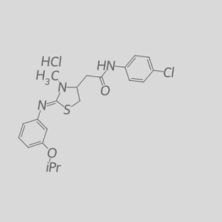 CC(C)Oc1cccc(/N=C2\SCC(CC(=O)Nc3ccc(Cl)cc3)N2C)c1.Cl